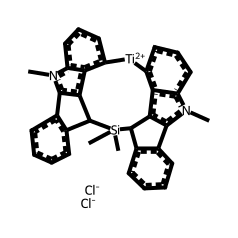 Cn1c2c3c4[c](cccc41)[Ti+2][c]1cccc4c1c1c(n4C)-c4ccccc4C1[Si](C)(C)C3c1ccccc1-2.[Cl-].[Cl-]